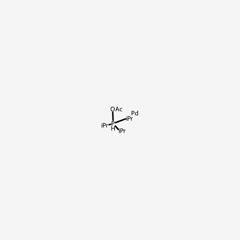 CC(=O)O[PH](C(C)C)(C(C)C)C(C)C.[Pd]